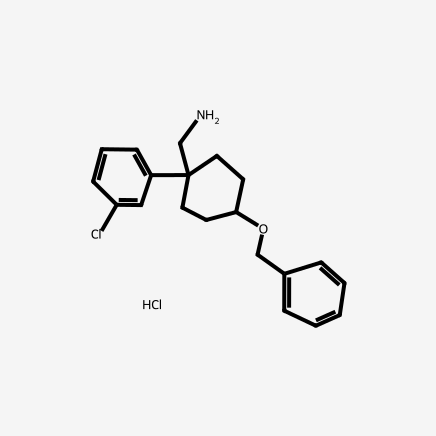 Cl.NCC1(c2cccc(Cl)c2)CCC(OCc2ccccc2)CC1